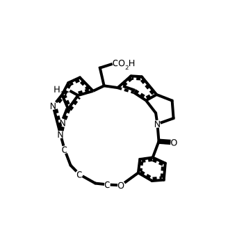 Cc1c2ccc3nn(nc13)CCCCCOc1cccc(c1)C(=O)N1CCc3ccc(cc3C1)C2CC(=O)O